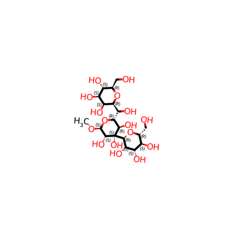 CO[C@H]1O[C@H](C(O)[C@@H]2O[C@H](CO)[C@@H](O)[C@H](O)[C@@H]2O)[C@@H](O)[C@@](O)([C@@H]2O[C@H](CO)[C@@H](O)[C@H](O)[C@@H]2O)[C@@H]1O